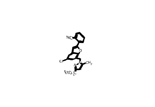 CCOC(=O)c1cc(C)n(Cc2cc(Cl)cc3cc(-c4ccccc4C#N)oc23)n1